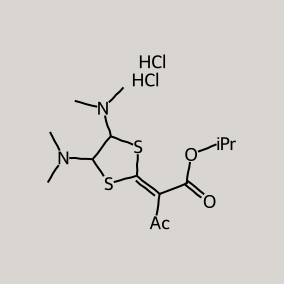 CC(=O)C(C(=O)OC(C)C)=C1SC(N(C)C)C(N(C)C)S1.Cl.Cl